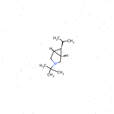 CC(C)[C@H]1[C@@H]2CN(C(C)(C)C)C[C@@H]21